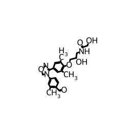 Cc1cc(N2CON=C2c2cc(C)c(OCC(O)CNC(=O)CO)c(C)c2)ccc1C=O